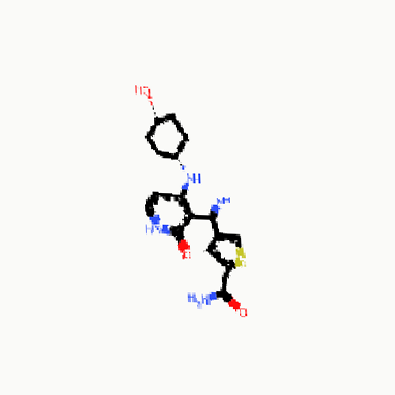 N=C(c1csc(C(N)=O)c1)c1c(N[C@H]2CC[C@@H](O)CC2)cc[nH]c1=O